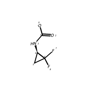 [O]C(=O)N[C@@H]1CC1(F)F